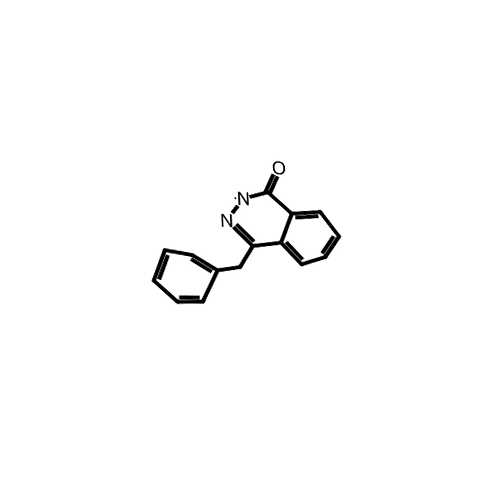 O=C1[N]N=C(Cc2ccccc2)c2ccccc21